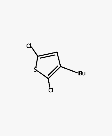 CCC(C)c1cc(Cl)sc1Cl